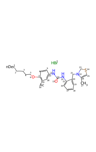 Br.CCCCCCCCCCCCCCOc1ccc(NC(=O)Nc2ccccc2CN2CSC=C2C)cc1C(C)=O